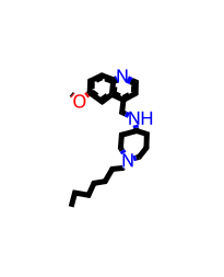 CCCCCCCN1CCCC(NCc2ccnc3ccc(OC)cc23)CC1